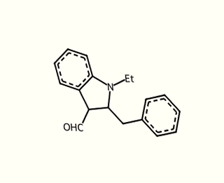 CCN1c2ccccc2C(C=O)C1Cc1ccccc1